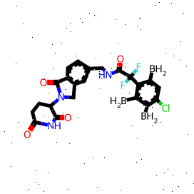 Bc1cc(Cl)c(B)c(B)c1C(F)(F)C(=O)NCc1ccc2c(c1)CN(C1CCC(=O)NC1=O)C2=O